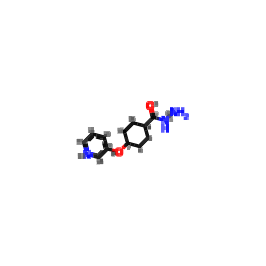 NNC(=O)C1CCC(Oc2cccnc2)CC1